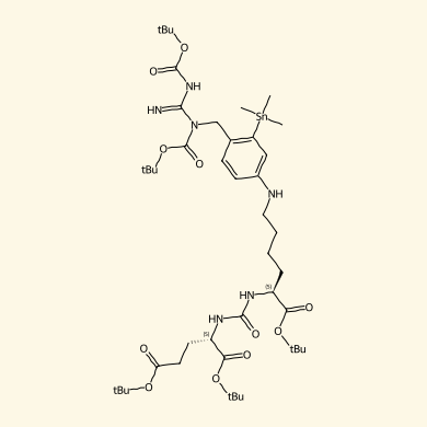 CC(C)(C)OC(=O)CC[C@H](NC(=O)N[C@@H](CCCCNc1ccc(CN(C(=N)NC(=O)OC(C)(C)C)C(=O)OC(C)(C)C)[c]([Sn]([CH3])([CH3])[CH3])c1)C(=O)OC(C)(C)C)C(=O)OC(C)(C)C